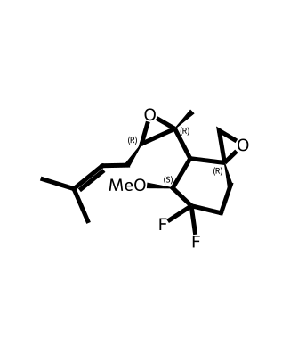 CO[C@H]1C([C@@]2(C)O[C@@H]2CC=C(C)C)[C@]2(CCC1(F)F)CO2